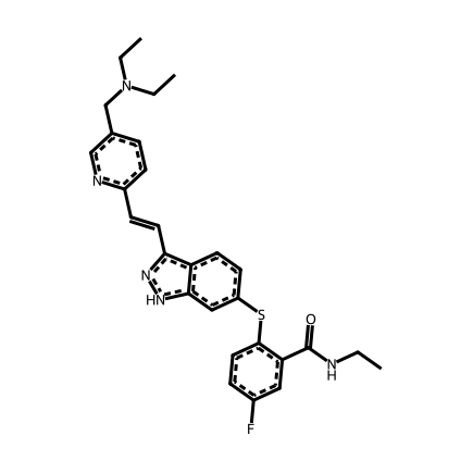 CCNC(=O)c1cc(F)ccc1Sc1ccc2c(/C=C/c3ccc(CN(CC)CC)cn3)n[nH]c2c1